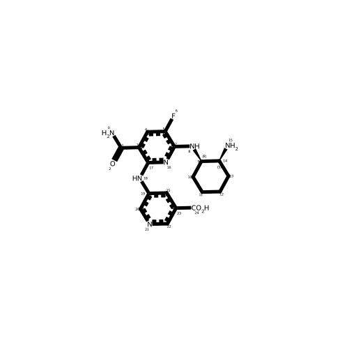 NC(=O)c1cc(F)c(N[C@@H]2CCCC[C@@H]2N)nc1Nc1cncc(C(=O)O)c1